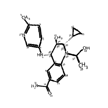 Cc1ccc(N[C@H]2c3cc(C(N)=O)ccc3N(C(C)O)[C@@H](C3CC3)[C@@H]2C)cn1